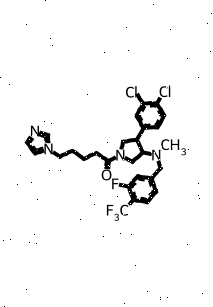 CN(Cc1ccc(C(F)(F)F)c(F)c1)C1CN(C(=O)CCCCn2ccnc2)CC1c1ccc(Cl)c(Cl)c1